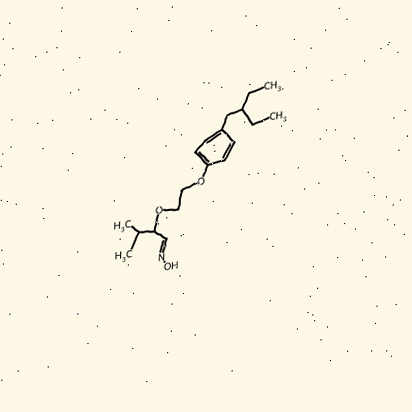 CCC(CC)Cc1ccc(OCCOC(C=NO)C(C)C)cc1